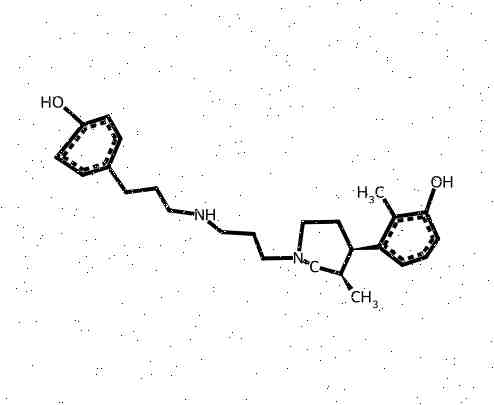 Cc1c(O)cccc1[C@@H]1CCN(CCCNCCCc2ccc(O)cc2)C[C@@H]1C